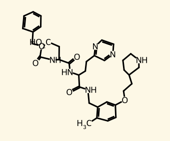 Cc1ccc(OCCC2CCCNC2)cc1CNC(=O)C(CCc1cnccn1)NC(=O)C(CC(=O)O)NC(=O)OCc1ccccc1